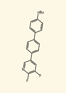 CCCCc1ccc(-c2ccc(-c3cnc(F)c(F)c3)cc2)cc1